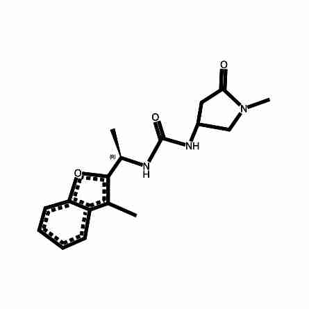 Cc1c([C@@H](C)NC(=O)NC2CC(=O)N(C)C2)oc2ccccc12